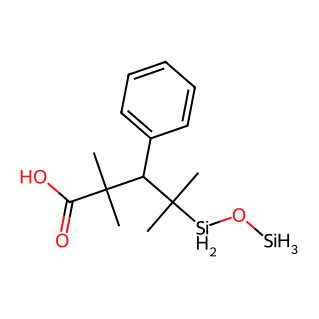 CC(C)([SiH2]O[SiH3])C(c1ccccc1)C(C)(C)C(=O)O